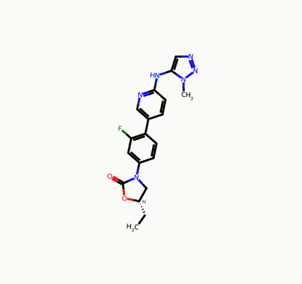 CC[C@H]1CN(c2ccc(-c3ccc(Nc4cnnn4C)nc3)c(F)c2)C(=O)O1